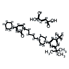 CC(C)(C)c1nc(N2CCN(CCCCn3ccc(N4CCCCC4)nc3=O)CC2)cc(C(F)(F)F)n1.O=C(O)C=CC(=O)O